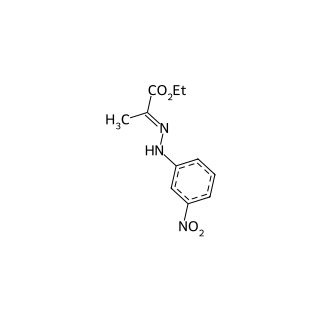 CCOC(=O)C(C)=NNc1cccc([N+](=O)[O-])c1